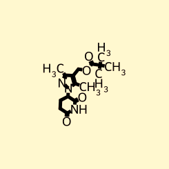 Cc1nn(C2CCC(=O)NC2=O)c(C)c1COC(=O)C(C)(C)C